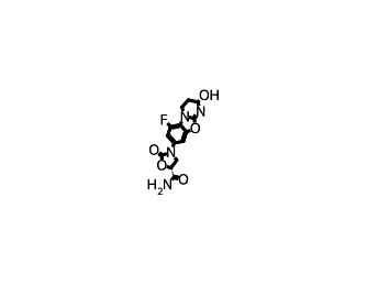 NC(=O)[C@H]1CN(c2cc(F)c3c(c2)OC2=NC(O)CCN23)C(=O)O1